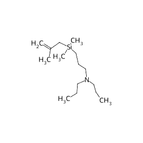 C=C(C)C[Si](C)(C)CCCN(CCC)CCC